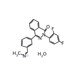 C/N=C\c1cccc(-c2nn(-c3ccc(F)cc3F)c(=O)c3ccccc23)c1.O